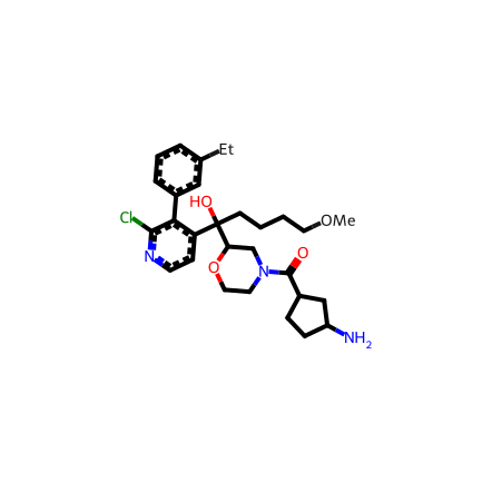 CCc1cccc(-c2c(C(O)(CCCCOC)C3CN(C(=O)C4CCC(N)C4)CCO3)ccnc2Cl)c1